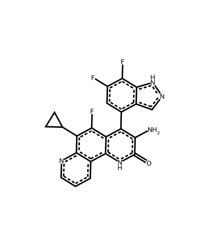 Nc1c(-c2cc(F)c(F)c3[nH]ncc23)c2c(F)c(C3CC3)c3ncccc3c2[nH]c1=O